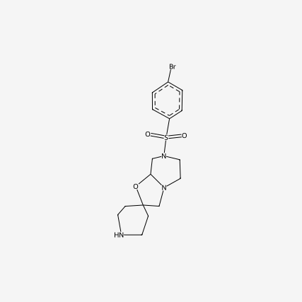 O=S(=O)(c1ccc(Br)cc1)N1CCN2CC3(CCNCC3)OC2C1